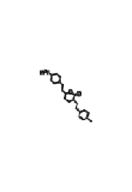 CCCC1CCC(CCC2CCC(CCc3ccc(C)cc3)C(=O)O2)CC1